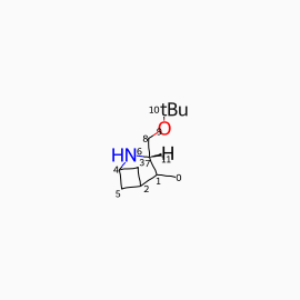 CC1C2CC(C2)N[C@@H]1COC(C)(C)C